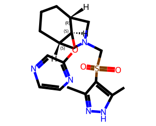 Cc1n[nH]c(C)c1S(=O)(=O)CN1C[C@H]2CCC[C@@H](C1)[C@@H]2Oc1cnccn1